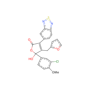 COc1ccc(C2(O)OC(=O)C(c3ccc4nsnc4c3)=C2Cc2ccco2)cc1Cl